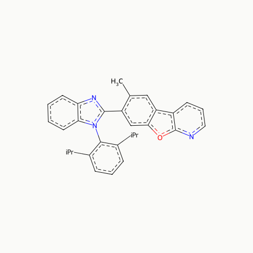 Cc1cc2c(cc1-c1nc3ccccc3n1-c1c(C(C)C)cccc1C(C)C)oc1ncccc12